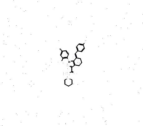 O=C(NN1CCCCC1)c1nn(-c2ccc(Cl)cc2Cl)c2c1CCC/C2=C\c1ccc(F)cc1